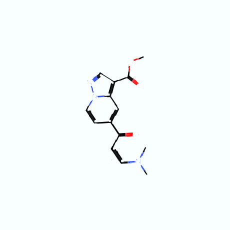 COC(=O)c1cnn2ccc(C(=O)/C=C\N(C)C)cc12